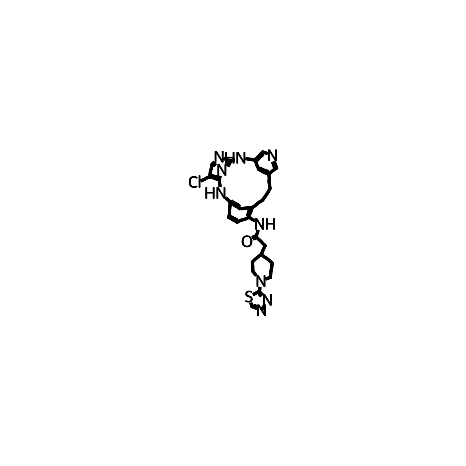 O=C(CC1CCN(c2nncs2)CC1)Nc1ccc2cc1CCc1cncc(c1)Nc1ncc(Cl)c(n1)N2